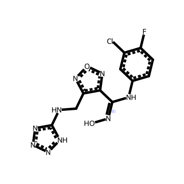 O/N=C(/Nc1ccc(F)c(Cl)c1)c1nonc1CNc1nnn[nH]1